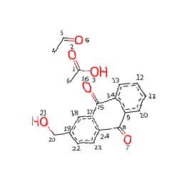 CC(=O)O.CC=O.O=C1c2ccccc2C(=O)c2cc(CO)ccc21